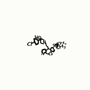 CN(C)Sc1ccc2c(c1)/C(=C/CCN1CCC(O)(c3ccc(Cl)cc3)CC1)c1cccnc1CO2